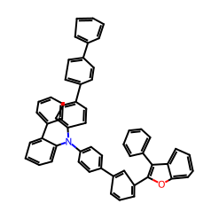 c1ccc(-c2ccc(-c3ccc(N(c4ccc(-c5cccc(-c6oc7ccccc7c6-c6ccccc6)c5)cc4)c4ccccc4-c4ccccc4)cc3)cc2)cc1